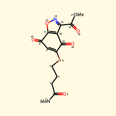 CNC(=O)CCCSC1=CC(=O)c2onc(C(=O)OC)c2C1=O